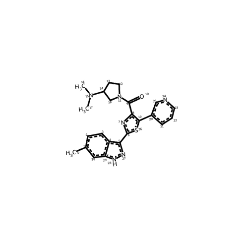 Cc1ccc2c(-c3nc(C(=O)N4CCC(N(C)C)C4)c(-c4cccnc4)s3)n[nH]c2c1